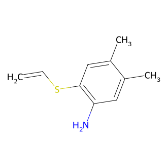 C=CSc1cc(C)c(C)cc1N